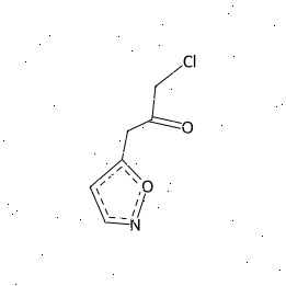 O=C(CCl)Cc1ccno1